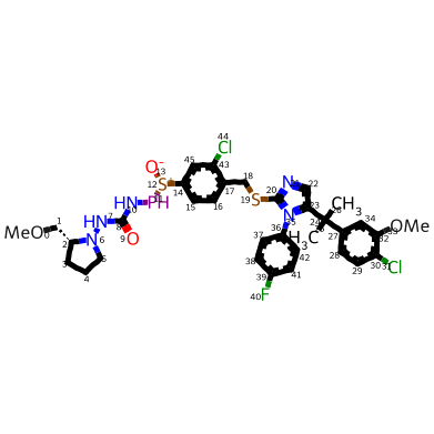 COC[C@H]1CCCN1NC(=O)NP[S+]([O-])c1ccc(CSc2ncc(C(C)(C)c3ccc(Cl)c(OC)c3)n2-c2ccc(F)cc2)c(Cl)c1